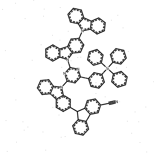 N#Cc1ccc2c(c1)-c1ccccc1C2c1ccc2c3ccccc3n(-c3cc(-c4cccc([Si](c5ccccc5)(c5ccccc5)c5ccccc5)c4)nc(-n4c5ccccc5c5cc(-n6c7ccccc7c7ccccc76)ccc54)n3)c2c1